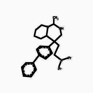 CC(C)N(CCC1(c2ccc(-c3ccccc3)cc2)CNC(C)N2CCCCC21)C(C)C